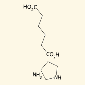 C1CCNC1.N.O=C(O)CCCCC(=O)O